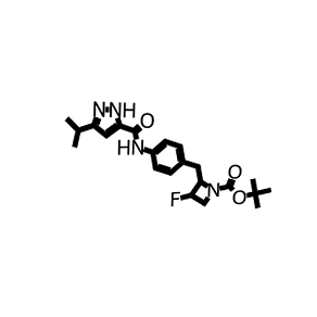 CC(C)c1cc(C(=O)Nc2ccc(CC3C(F)CN3C(=O)OC(C)(C)C)cc2)[nH]n1